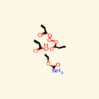 C=CC(=O)O.C=CC(=O)OOOC(=O)C=C.CCOC(N)=O